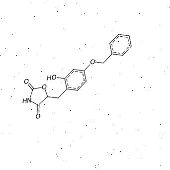 O=C1NC(=O)C(Cc2ccc(OCc3ccccc3)cc2O)O1